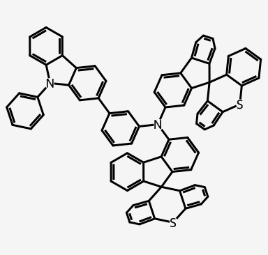 c1ccc(-n2c3ccccc3c3ccc(-c4cccc(N(c5ccc6c(c5)C5(c7ccccc7Sc7ccccc75)c5ccccc5-6)c5cccc6c5-c5ccccc5C65c6ccccc6Sc6ccccc65)c4)cc32)cc1